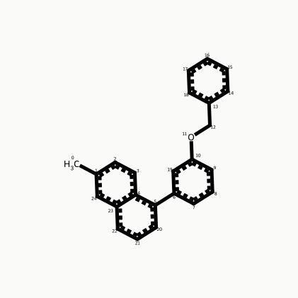 Cc1ccc2c(-c3cccc(OCc4ccccc4)c3)cccc2c1